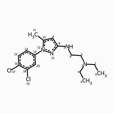 CCN(CC)CCNc1cc(C)n(-c2ccc(Cl)c(Cl)c2)n1